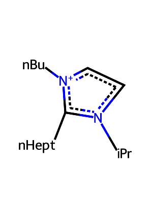 CCCCCCCc1n(C(C)C)cc[n+]1CCCC